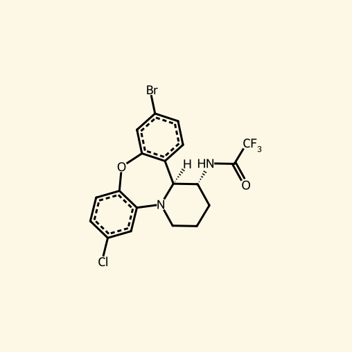 O=C(N[C@@H]1CCCN2c3cc(Cl)ccc3Oc3cc(Br)ccc3[C@@H]12)C(F)(F)F